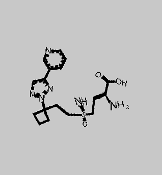 N=S(=O)(CC[C@H](N)C(=O)O)CCC1(n2ncc(-c3cccnc3)n2)CCC1